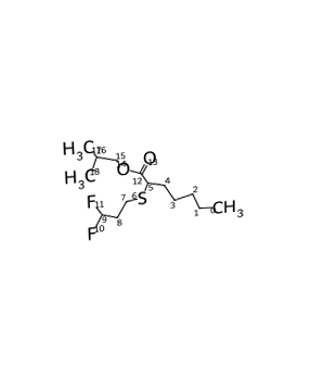 CCCCCC(SCCC(F)F)C(=O)OCC(C)C